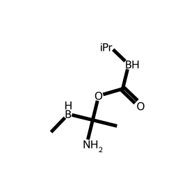 CBC(C)(N)OC(=O)BC(C)C